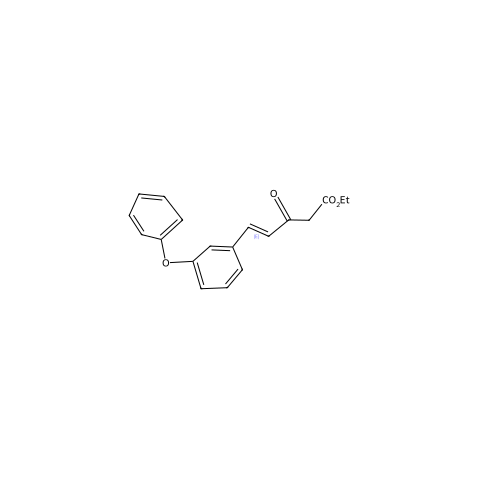 CCOC(=O)CC(=O)/C=C/c1cccc(Oc2ccccc2)c1